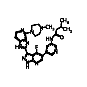 CC(C)CC(=O)Nc1cncc(-c2cnc3[nH]nc(-c4nc5c(N6CCN(C)CC6)nccc5[nH]4)c3c2F)c1